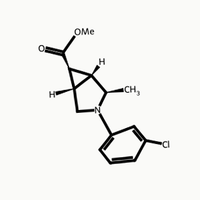 COC(=O)[C@@H]1[C@H]2CN(c3cccc(Cl)c3)[C@H](C)[C@H]21